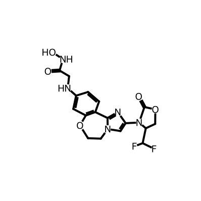 O=C(CNc1ccc2c(c1)OCCn1cc(N3C(=O)OCC3C(F)F)nc1-2)NO